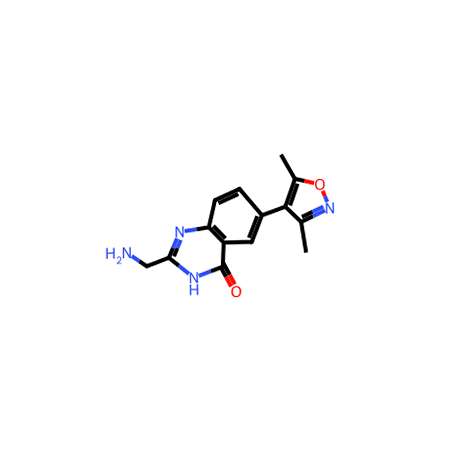 Cc1noc(C)c1-c1ccc2nc(CN)[nH]c(=O)c2c1